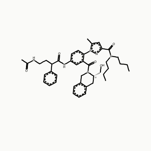 CCCCN(CCCC)C(=O)c1cc(C)n(-c2ccc(NC(=O)C(CCNC(C)=O)c3ccccc3)cc2C(=O)N2Cc3ccccc3C[C@H]2CO)n1